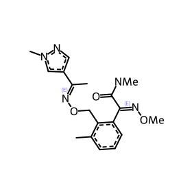 CNC(=O)/C(=N/OC)c1cccc(C)c1CO/N=C(\C)c1cnn(C)c1